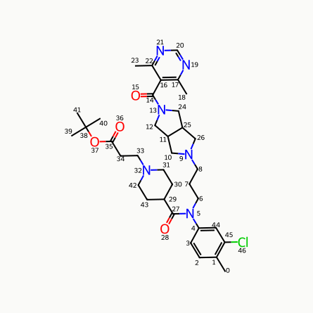 Cc1ccc(N(CCCN2CC3CN(C(=O)c4c(C)ncnc4C)CC3C2)C(=O)C2CCN(CCC(=O)OC(C)(C)C)CC2)cc1Cl